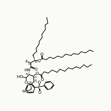 CCCCCCCCCCCCCC(=O)O[C@H]1[C@H](OP(=O)(c2ccccc2)c2ccccc2)[C@@H](CO)OC(O)[C@@H]1NC(=O)[C@@H](F)[C@@H](CCCCCCCCCCC)OC(=O)CCCCCCCCCCCCC